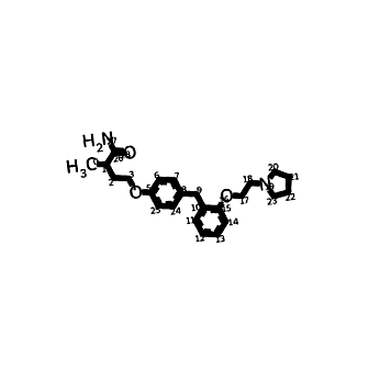 CC(CCOc1ccc(Cc2[c]cccc2OCCN2CCCC2)cc1)C(N)=O